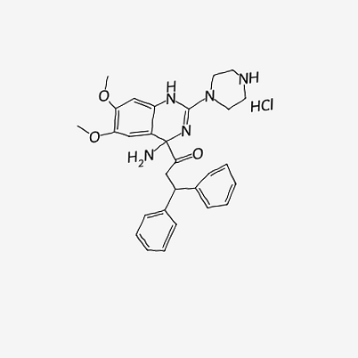 COc1cc2c(cc1OC)C(N)(C(=O)CC(c1ccccc1)c1ccccc1)N=C(N1CCNCC1)N2.Cl